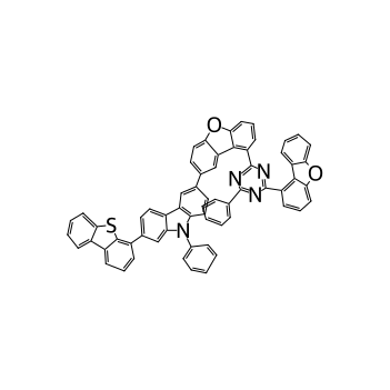 c1ccc(-c2nc(-c3cccc4oc5ccccc5c34)nc(-c3cccc4oc5ccc(-c6ccc7c(c6)c6ccc(-c8cccc9c8sc8ccccc89)cc6n7-c6ccccc6)cc5c34)n2)cc1